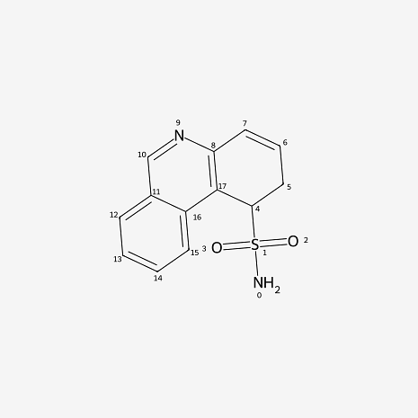 NS(=O)(=O)C1CC=Cc2ncc3ccccc3c21